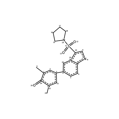 Cc1cc(-c2ccc3ncc(S(=O)(=O)N4CCCC4)n3c2)cn(C)c1=O